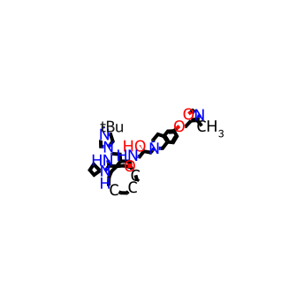 Cc1ncoc1COc1ccc2c(c1)CCN(C[C@@H](O)CNC(=O)C1CC(N3CCN(C(C)(C)C)CC3)NC(NC3CCC3)C13CCCCCCCCCCC3)C2